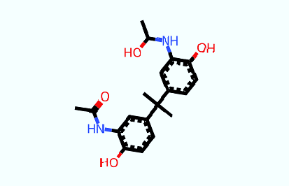 CC(=O)Nc1cc(C(C)(C)c2ccc(O)c(NC(C)O)c2)ccc1O